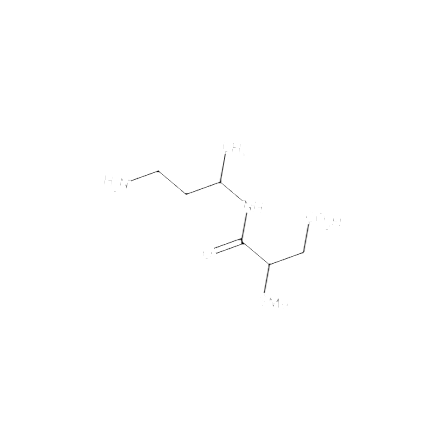 CSC(CC(=O)O)C(=O)NC(C)CCN